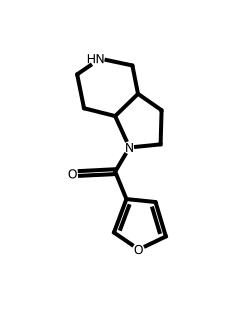 O=C(c1ccoc1)N1CCC2CNCCC21